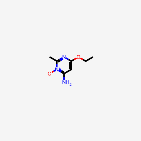 CCOc1cc(N)[n+]([O-])c(C)n1